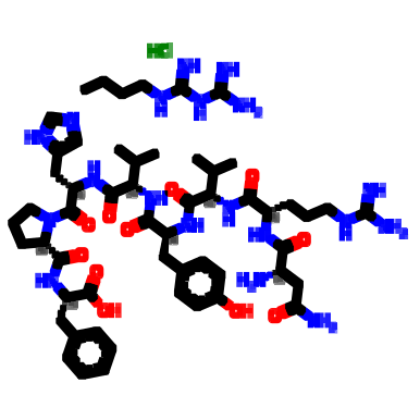 CC(C)[C@H](NC(=O)[C@H](CCCNC(=N)N)NC(=O)[C@@H](N)CC(N)=O)C(=O)N[C@@H](Cc1ccc(O)cc1)C(=O)N[C@H](C(=O)N[C@@H](Cc1cnc[nH]1)C(=O)N1CCC[C@H]1C(=O)N[C@@H](Cc1ccccc1)C(=O)O)C(C)C.CCCCNC(=N)NC(=N)N.Cl